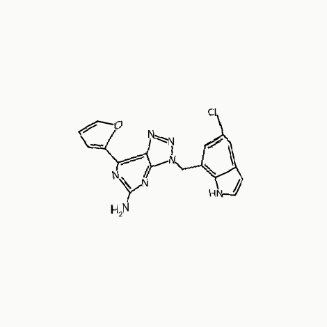 Nc1nc(-c2ccco2)c2nnn(Cc3cc(Cl)cc4cc[nH]c34)c2n1